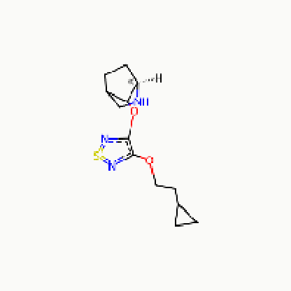 C(CC1CC1)Oc1nsnc1OC1C2CC[C@H]1NC2